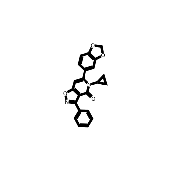 O=c1c2c(-c3ccccc3)noc2cc(-c2ccc3c(c2)OCO3)n1C1CC1